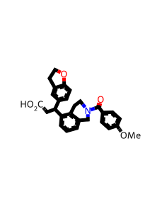 COc1ccc(C(=O)N2CCc3c(cccc3C(CC(=O)O)c3ccc4c(c3)CCO4)C2)cc1